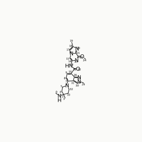 CNC1(C)CCN(c2ccc(C(=O)Nc3cn4cc(C)nc4c(OC)n3)c3nn(C)cc23)CC1